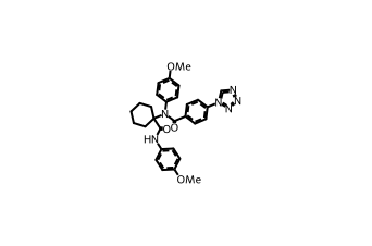 COc1ccc(NC(=O)C2(N(C(=O)c3ccc(-n4cnnn4)cc3)c3ccc(OC)cc3)CCCCC2)cc1